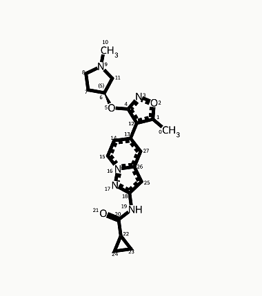 Cc1onc(O[C@H]2CCN(C)C2)c1-c1ccn2nc(NC(=O)C3CC3)cc2c1